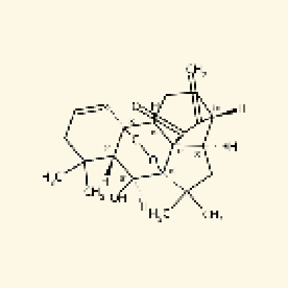 C=C1C(=O)[C@@]23[C@@H]4CC(C)(C)[C@]25OC[C@]2(C=CCC(C)(C)[C@H]2[C@@H]5O)[C@@H]3CC[C@@H]14